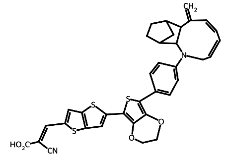 C=C1/C=C\C=C/CN(c2ccc(-c3sc(-c4cc5sc(/C=C(\C#N)C(=O)O)cc5s4)c4c3OCCO4)cc2)C2C3CCC(C3)C12